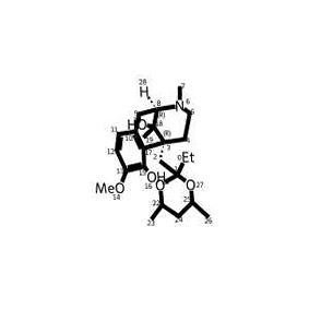 CCC1(C[C@]23CCN(C)[C@H](Cc4ccc(OC)c(O)c42)C3(C)O)OC(C)CC(C)O1